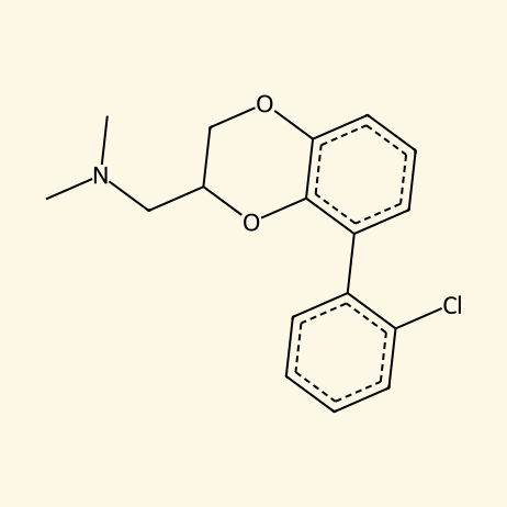 CN(C)CC1COc2cccc(-c3ccccc3Cl)c2O1